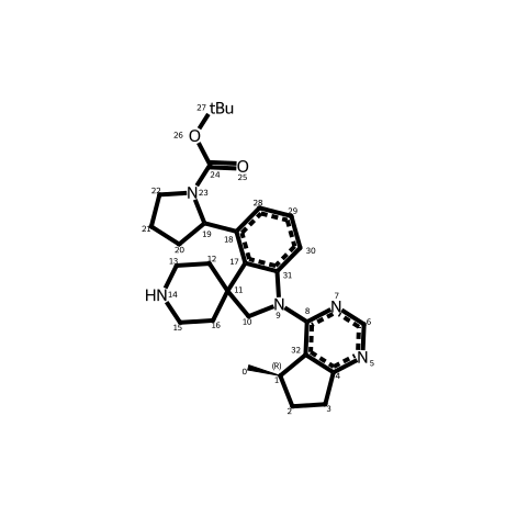 C[C@@H]1CCc2ncnc(N3CC4(CCNCC4)c4c(C5CCCN5C(=O)OC(C)(C)C)cccc43)c21